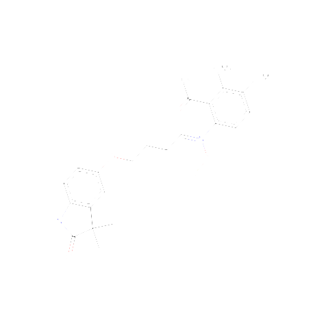 COc1ccc([N+](=CCCCOc2ccc3c(c2)C(C)(C)C(=O)N3)OS)c(C(=O)C(C)(C)C)c1OC